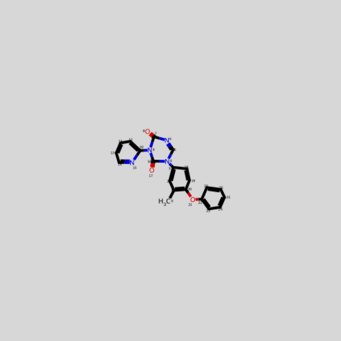 Cc1cc(-n2cnc(=O)n(-c3ccccn3)c2=O)ccc1Oc1ccccc1